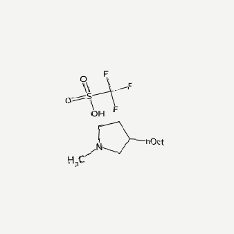 CCCCCCCCC1CCN(C)C1.O=S(=O)(O)C(F)(F)F